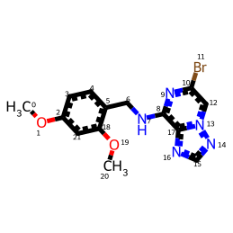 COc1ccc(CNc2nc(Br)cn3ncnc23)c(OC)c1